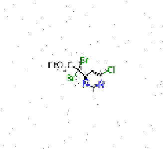 CCOC(=O)C(Br)(Br)c1cc(Cl)ncn1